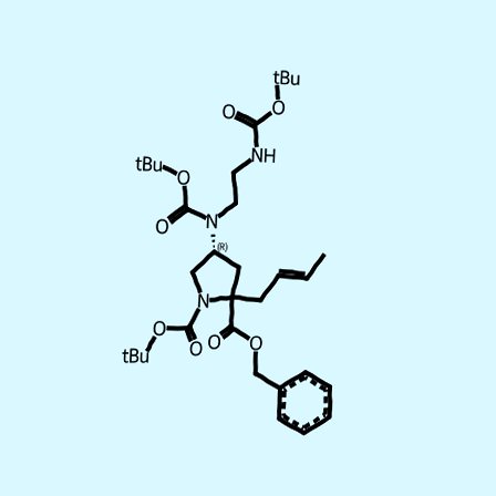 CC=CCC1(C(=O)OCc2ccccc2)C[C@@H](N(CCNC(=O)OC(C)(C)C)C(=O)OC(C)(C)C)CN1C(=O)OC(C)(C)C